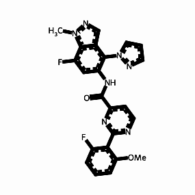 COc1cccc(F)c1-c1nccc(C(=O)Nc2cc(F)c3c(cnn3C)c2-n2cccn2)n1